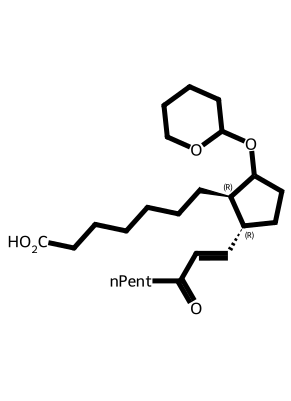 CCCCCC(=O)C=C[C@H]1CCC(OC2CCCCO2)[C@@H]1CCCCCCC(=O)O